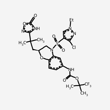 CCn1cc(S(=O)(=O)N2C[C@H](CC(C)(C)c3noc(=O)[nH]3)Oc3ccc(NC(=O)OC(C)(C)C(F)(F)F)cc32)c(Cl)n1